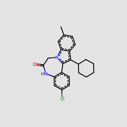 Cc1ccc2c(C3CCCCC3)c3n(c2c1)CC(=O)Nc1cc(Cl)ccc1-3